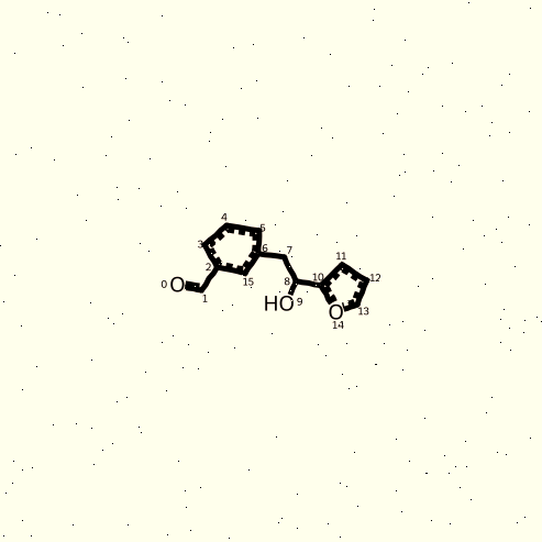 O=Cc1cccc(CC(O)c2ccco2)c1